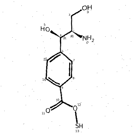 N[C@H](CO)[C@H](O)c1ccc(C(=O)OS)cc1